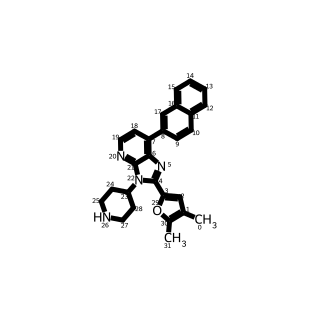 Cc1cc(-c2nc3c(-c4ccc5ccccc5c4)ccnc3n2C2CCNCC2)oc1C